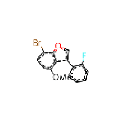 COc1ccc(Br)c2occ(-c3ccccc3F)c12